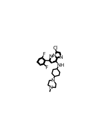 CN1CCN(C2CCC(Nc3cc(-c4c(F)cccc4F)nn4c(Cl)cnc34)CC2)CC1